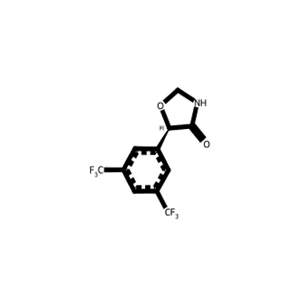 O=C1NCO[C@@H]1c1cc(C(F)(F)F)cc(C(F)(F)F)c1